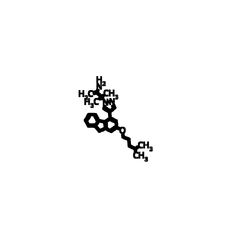 C=C(N)C(C)(C)n1cc(-c2cc(OCCCC(C)C)cc3c2-c2ccccc2C3)cn1